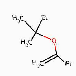 C=C(OC(C)(C)CC)C(C)C